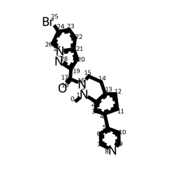 CN1c2cc(-c3ccncc3)ccc2CCN1C(=O)c1cc2ccc(Br)cn2n1